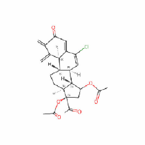 C=C1C(=C)[C@@]2(C)C(=CC1=O)C(Cl)=C[C@@H]1[C@@H]2CC[C@@]2(C)[C@H]1C(OC(C)=O)C[C@]2(OC(C)=O)C(C)=O